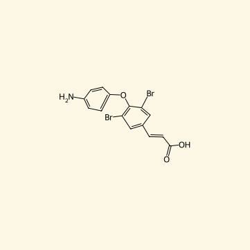 Nc1ccc(Oc2c(Br)cc(/C=C/C(=O)O)cc2Br)cc1